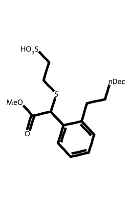 CCCCCCCCCCCCc1ccccc1C(SCCS(=O)(=O)O)C(=O)OC